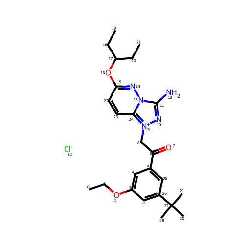 CCOc1cc(C(=O)C[n+]2nc(N)n3nc(OC(CC)CC)ccc32)cc(C(C)(C)C)c1.[Cl-]